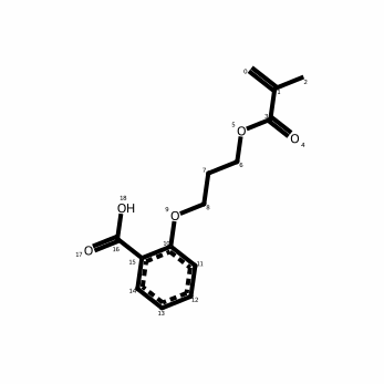 C=C(C)C(=O)OCCCOc1ccccc1C(=O)O